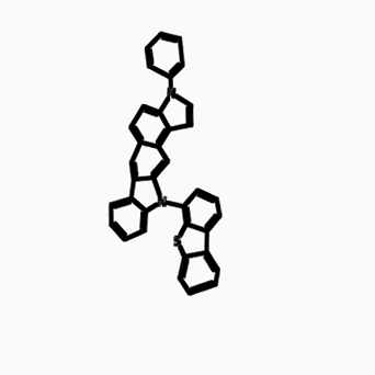 c1ccc(-n2ccc3c4cc5c(cc4ccc32)c2ccccc2n5-c2cccc3c2sc2ccccc23)cc1